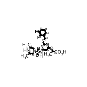 C[C@@H]1CN(S(=O)(=O)Nc2cc(O[C@H](C)C(=O)O)nc(SCc3cccc(F)c3F)n2)C[C@H](C)N1